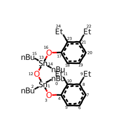 CCC[CH2][Sn]([CH2]CCC)([O]c1cccc(CC)c1CC)[O][Sn]([CH2]CCC)([CH2]CCC)[O]c1cccc(CC)c1CC